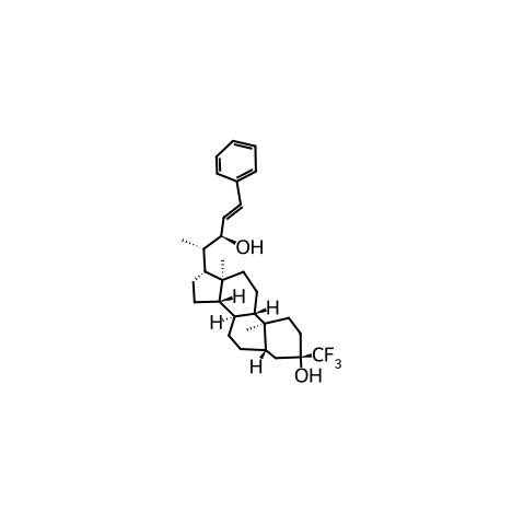 C[C@H]([C@H](O)/C=C/c1ccccc1)[C@H]1CC[C@H]2[C@@H]3CC[C@H]4C[C@](O)(C(F)(F)F)CC[C@]4(C)[C@H]3CC[C@]12C